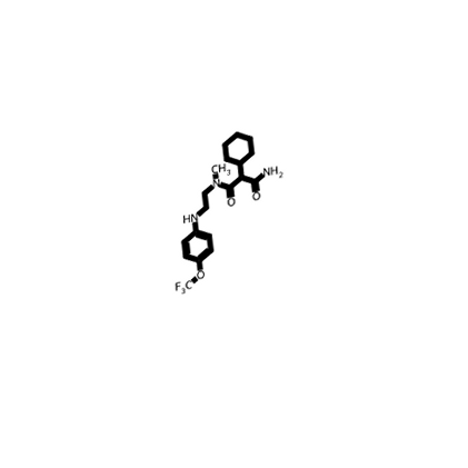 CN(CCNc1ccc(OC(F)(F)F)cc1)C(=O)C(C(N)=O)C1CCCCC1